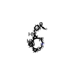 CC#CC(=O)N1CCCN(CCNc2cc3cc(c2)Nc2nccc(n2)-c2cccc(c2)OCC/C=C/CN(C)C3)CC1